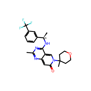 Cc1nc(N[C@H](C)c2cccc(C(F)(F)F)c2)c2cn(C3(C)CCOCC3)c(=O)cc2n1